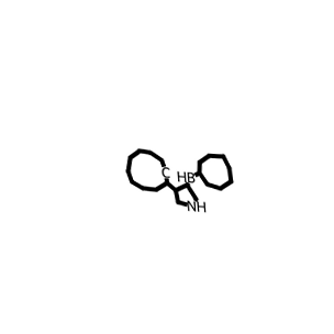 B(C1CCCCCCC1)C1CNCC1C1CCCCCCCCC1